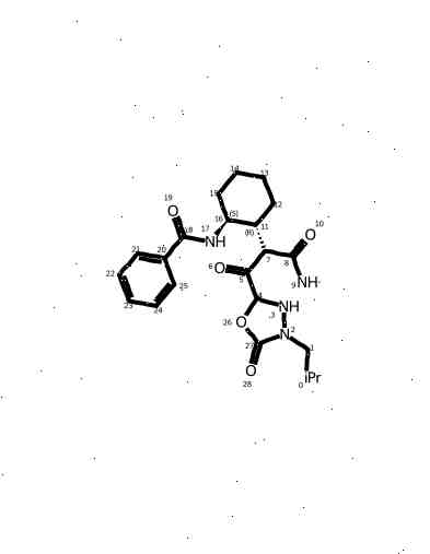 CC(C)CN1NC(C(=O)C(C([NH])=O)[C@H]2CCCC[C@@H]2NC(=O)c2ccccc2)OC1=O